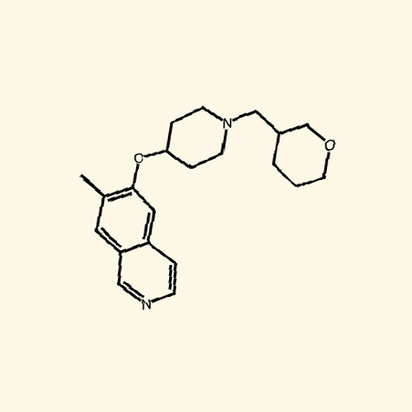 Cc1cc2cnccc2cc1OC1CCN(CC2CCCOC2)CC1